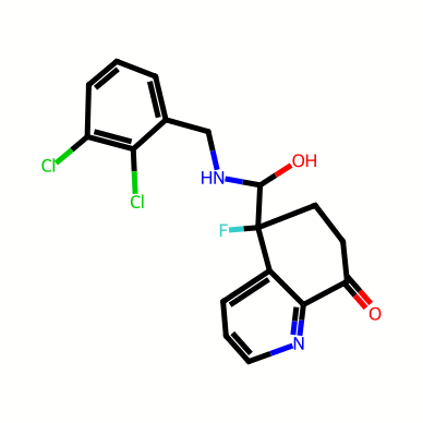 O=C1CCC(F)(C(O)NCc2cccc(Cl)c2Cl)c2cccnc21